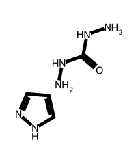 NNC(=O)NN.c1cn[nH]c1